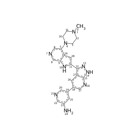 CN1CCN(c2cncc3[nH]c(-c4n[nH]c5ncc(-c6cncc(N)c6)cc45)cc23)CC1